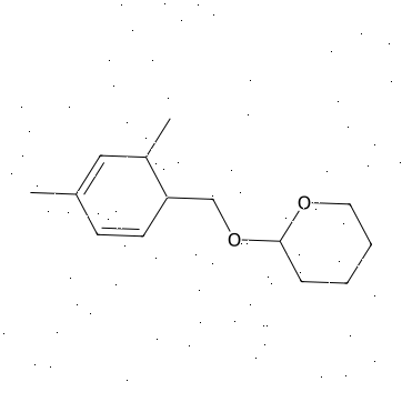 CC1=CC(C)C(COC2CCCCO2)C=C1